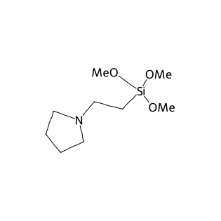 CO[Si](CCN1CCCC1)(OC)OC